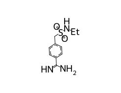 CCNS(=O)(=O)Cc1ccc(C(=N)N)cc1